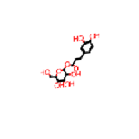 O=C(C=Cc1ccc(O)c(O)c1)OC1OC(CO)C(O)C(O)C1O